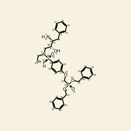 CC(C)CN(C[C@@H](O)[C@@H](N)Cc1ccccc1)S(=O)(=P)c1ccc(OCP(=O)(OCc2ccccc2)OCc2ccccc2)cc1